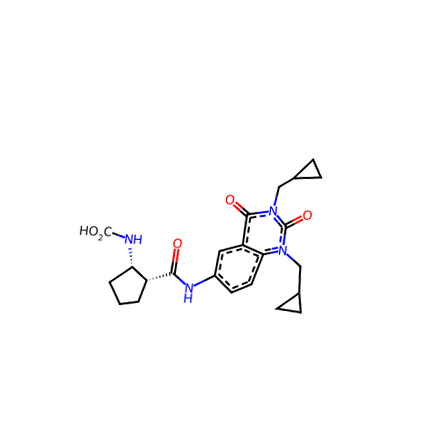 O=C(O)N[C@H]1CCC[C@H]1C(=O)Nc1ccc2c(c1)c(=O)n(CC1CC1)c(=O)n2CC1CC1